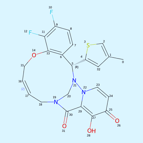 Cc1csc([C@H]2c3ccc(F)c(F)c3OC/C=C\CN3CN2n2ccc(=O)c(O)c2C3=O)c1